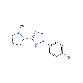 CC(=O)N1CCC[C@H]1c1ncc(-c2ccc(Br)cc2)[nH]1